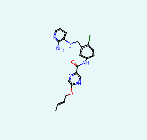 C/C=C/COc1cnc(C(=O)Nc2ccc(F)c(CNc3cccnc3N)c2)cn1